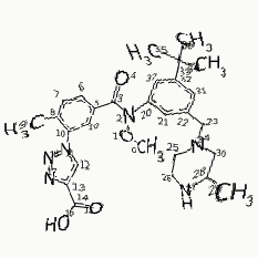 CON(C(=O)c1ccc(C)c(-n2cc(C(=O)O)nn2)c1)c1cc(CN2CCNC(C)C2)cc(C(C)(C)C)c1